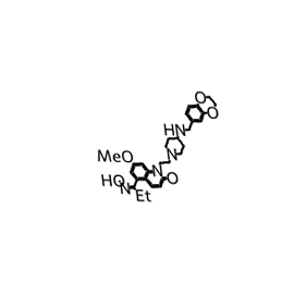 CC/C(=N/O)c1cc(OC)cc2c1ccc(=O)n2CCN1CCC(NCc2ccc3c(c2)OCCO3)CC1